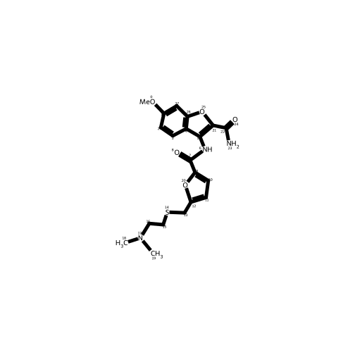 COc1ccc2c(NC(=O)c3ccc(CSCCN(C)C)o3)c(C(N)=O)oc2c1